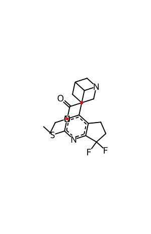 CCOC(=O)CC1C2CC(c3nc(SC)nc4c3CCC4(F)F)CN1C2